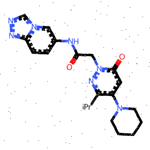 CC(C)c1nn(CC(=O)Nc2ccc3nncn3c2)c(=O)cc1N1CCCCC1